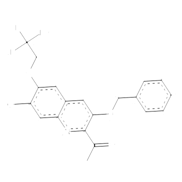 CC(=O)c1nc2cc(Cl)c(OCC(F)(F)F)cc2cc1OCc1ccccc1